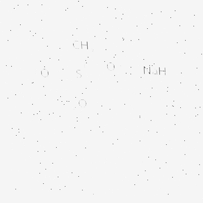 CS(=O)(=O)Oc1ccccc1.[NaH]